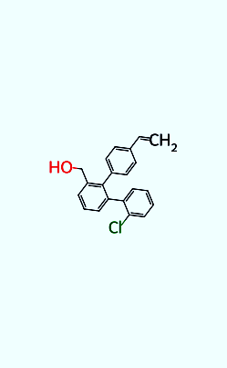 C=Cc1ccc(-c2c(CO)cccc2-c2ccccc2Cl)cc1